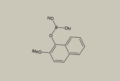 COc1ccc2ccccc2c1OB(O)O